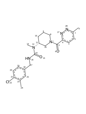 Cc1ccc(C(=O)N2CCC[C@@H](N(C)C(=O)NCc3ccc(Cl)c(C)c3)C2)nn1